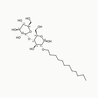 CCCCCCCCCCCCO[C@@H]1[C@@H](O)[C@H](O[C@H]2O[C@H](CO)[C@@H](O)[C@H](O)[C@H]2O)[C@@H](CO)O[C@H]1O